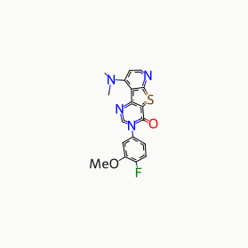 COc1cc(-n2cnc3c(sc4nccc(N(C)C)c43)c2=O)ccc1F